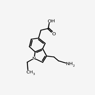 CCn1cc(CCN)c2cc(CC(=O)O)ccc21